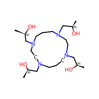 C[C@@H](O)CN1CCCN(C[C@@H](C)O)CCN(C[C@@H](C)O)CCCN(C[C@@H](C)O)CC1